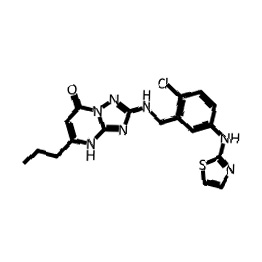 CCCc1cc(=O)n2nc(NCc3cc(Nc4nccs4)ccc3Cl)nc2[nH]1